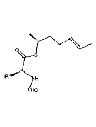 C/C=C/CC[C@H](C)OC(=O)[C@@H](NC=O)C(C)C